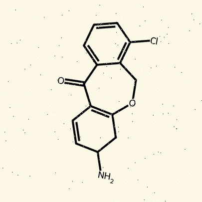 NC1C=CC2=C(C1)OCc1c(Cl)cccc1C2=O